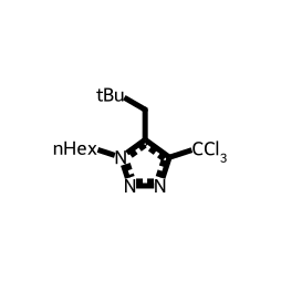 CCCCCCn1nnc(C(Cl)(Cl)Cl)c1CC(C)(C)C